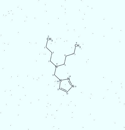 CCCCN(CCCC)Cn1ccnn1